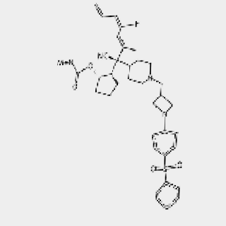 C=C/C=C(F)\C=C(/C)[C@](C#N)(C1CCN(CC2CN(c3ccc(S(=O)(=O)c4ccccc4)cc3)C2)CC1)[C@H]1CCC[C@@H]1OC(=O)NC